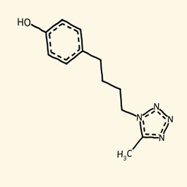 Cc1nnnn1CCCCc1ccc(O)cc1